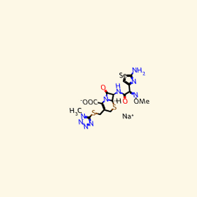 CO/N=C(\C(=O)N[C@@H]1C(=O)N2C(C(=O)[O-])=C(CSc3nnnn3C)CS[C@H]12)c1c[se]c(N)n1.[Na+]